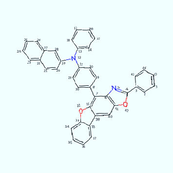 c1ccc(-c2nc3c(-c4ccc(N(c5ccccc5)c5ccc6ccccc6c5)cc4)c4oc5ccccc5c4cc3o2)cc1